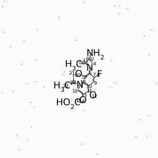 C[C@H]1[C@H](N)CN1c1c(F)cc2c(=O)c(OC(=O)O)cn3c2c1OC[C@@H]3C